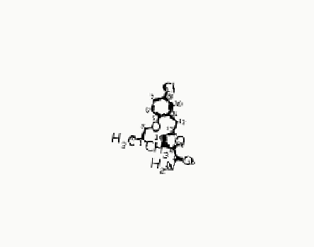 CC(C)COc1ccc(Cl)cc1Cc1ccc(C(N)=O)o1